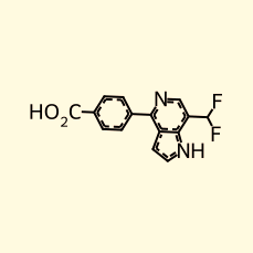 O=C(O)c1ccc(-c2ncc(C(F)F)c3[nH]ccc23)cc1